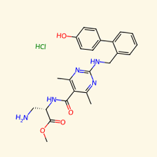 COC(=O)[C@H](CN)NC(=O)c1c(C)nc(NCc2ccccc2-c2ccc(O)cc2)nc1C.Cl